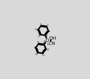 N#CO.c1ccc(Oc2ccccc2)cc1